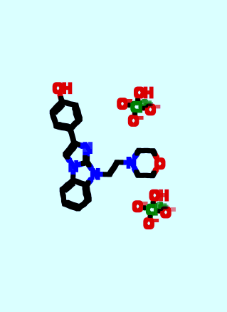 Oc1ccc(-c2cn3c4ccccc4n(CCN4CCOCC4)c3n2)cc1.[O-][Cl+3]([O-])([O-])O.[O-][Cl+3]([O-])([O-])O